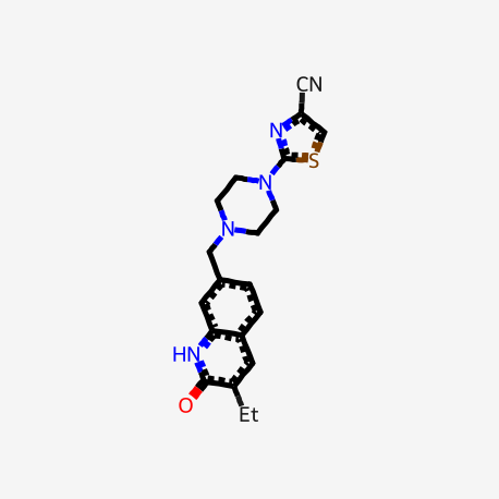 CCc1cc2ccc(CN3CCN(c4nc(C#N)cs4)CC3)cc2[nH]c1=O